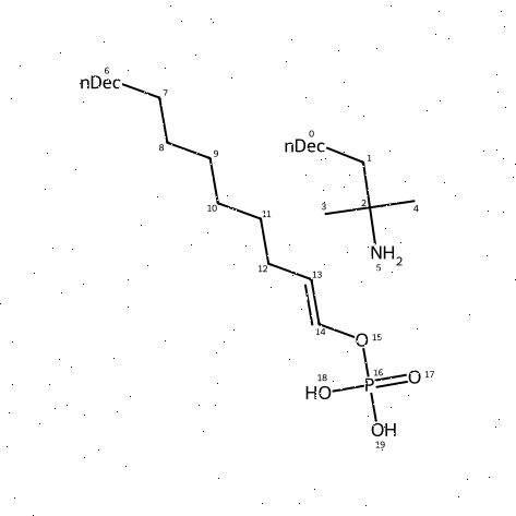 CCCCCCCCCCCC(C)(C)N.CCCCCCCCCCCCCCCCC=COP(=O)(O)O